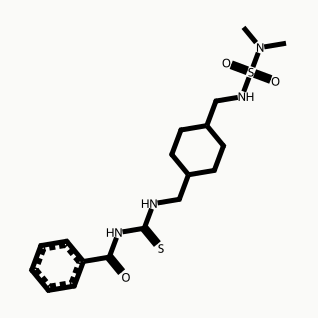 CN(C)S(=O)(=O)NCC1CCC(CNC(=S)NC(=O)c2ccccc2)CC1